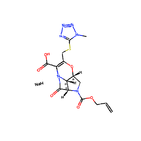 C=CCOC(=O)N1C[C@H]2OC(CSc3nnnn3C)=C(C(=O)O)N3C(=O)[C@@H]1[C@@H]23.[NaH]